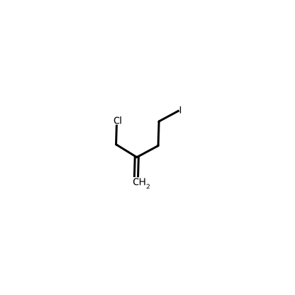 C=C(CCl)CCI